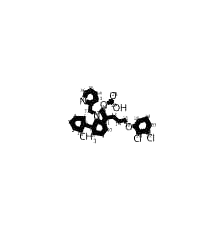 Cc1ccccc1-c1cccc2c(CCCOc3cccc(Cl)c3Cl)c(OC(=O)O)n(Cc3ccccn3)c12